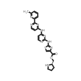 Cc1cccc(-c2nccc(Nc3ccnc(Nc4nc(C(=O)OC[C@H]5CCCN5)cs4)n3)n2)n1